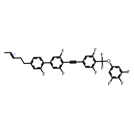 C/C=C/CCc1ccc(-c2cc(F)c(C#Cc3cc(F)c(C(F)(F)Oc4cc(F)c(F)c(F)c4)c(F)c3)c(F)c2)c(F)c1